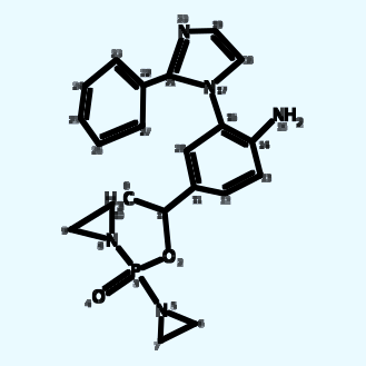 CC(OP(=O)(N1CC1)N1CC1)c1ccc(N)c(-n2ccnc2-c2ccccc2)c1